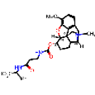 COc1ccc2c3c1O[C@H]1[C@@H](OC(=O)NCCC(=O)NC(C(=O)O)C(C)C)CCC4[C@@H](C2)N(C)CC[C@@]341